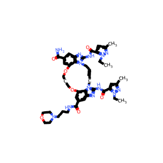 CCn1nc(C)cc1C(=O)Nc1nc2cc(C(N)=O)cc3c2n1C/C=C/Cn1c(NC(=O)c2cc(C)nn2CC)nc2cc(C(=O)NCCCN4CCOCC4)cc(c21)OCCCO3